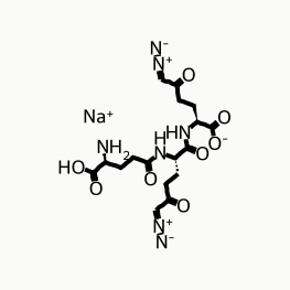 [N-]=[N+]=CC(=O)CC[C@H](NC(=O)[C@H](CCC(=O)C=[N+]=[N-])NC(=O)CC[C@H](N)C(=O)O)C(=O)[O-].[Na+]